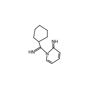 N=C(C1CCCCC1)n1ccccc1=N